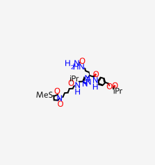 CSC1CC(=O)N(CCCCCC(=O)N[C@H](c2cn([C@@H](CCCNC(N)=O)C(=O)Nc3ccc(COC(=O)C(C)C)cc3)nn2)C(C)C)C1=O